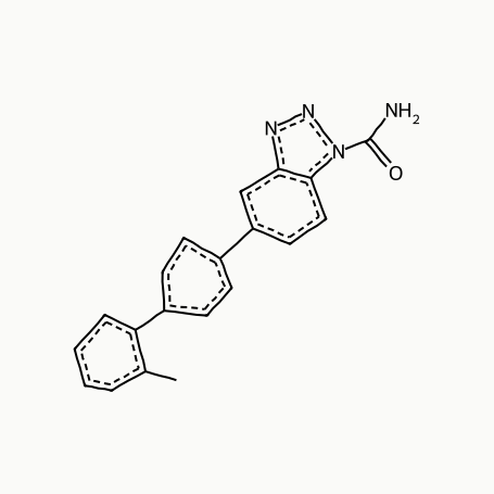 Cc1ccccc1-c1ccc(-c2ccc3c(c2)nnn3C(N)=O)cc1